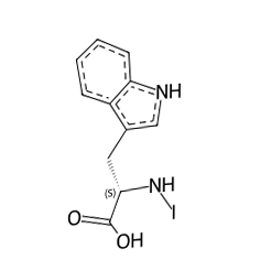 O=C(O)[C@H](Cc1c[nH]c2ccccc12)NI